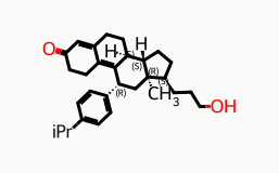 CC(C)c1ccc([C@H]2C[C@]3(C)[C@H](CCCO)CC[C@H]3[C@@H]3CCC4=CC(=O)CCC4=C32)cc1